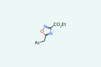 CCOC(=O)c1noc(CC(C)=O)n1